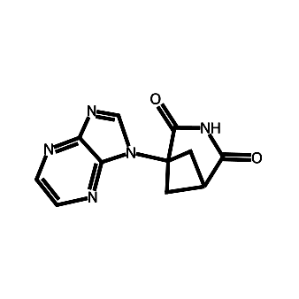 O=C1NC(=O)C2(n3cnc4nccnc43)CC1C2